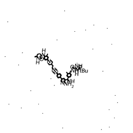 C=C1CCC(Nc2ccc(N3CCC(CCN4CCN(c5ccc(-c6cnc(N)c(C(=N)c7ccc(CNC(=O)C(=N)NC(=O)C(C)(C)C)c(C)c7)c6)cc5)CC4)CC3)cc2C)C(=O)N1